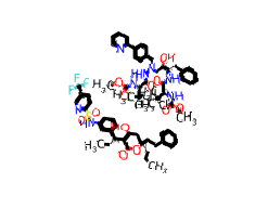 CCC[C@@]1(CCc2ccccc2)CC(O)=C([C@H](CC)c2cccc(NS(=O)(=O)c3ccc(C(F)(F)F)cn3)c2)C(=O)O1.COC(=O)N[C@H](C(=O)N[C@@H](Cc1ccccc1)[C@@H](O)CN(Cc1ccc(-c2ccccn2)cc1)NC(=O)[C@@H](NC(=O)OC)C(C)(C)C)C(C)(C)C